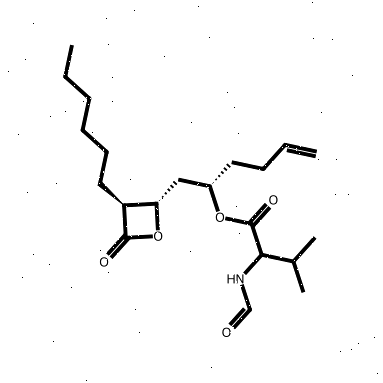 C=CCC[C@@H](C[C@@H]1OC(=O)[C@H]1CCCCCC)OC(=O)C(NC=O)C(C)C